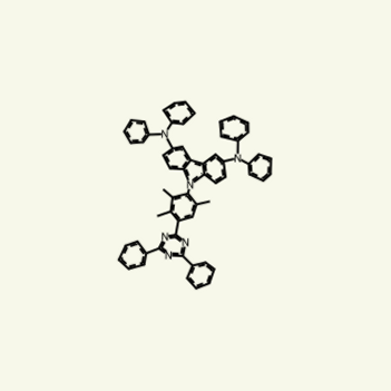 Cc1cc(-c2nc(-c3ccccc3)nc(-c3ccccc3)n2)c(C)c(C)c1-n1c2ccc(N(c3ccccc3)c3ccccc3)cc2c2cc(N(c3ccccc3)c3ccccc3)ccc21